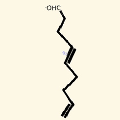 C=CCC/C=C/CC[C]=O